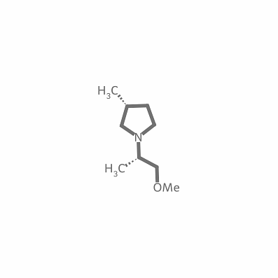 COC[C@H](C)N1CC[C@@H](C)C1